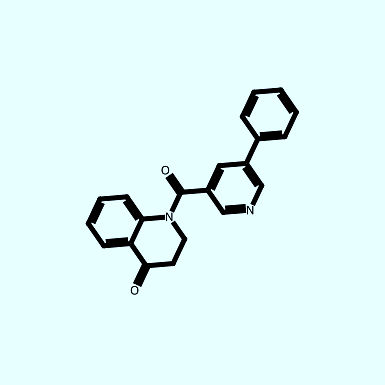 O=C1CCN(C(=O)c2cncc(-c3ccccc3)c2)c2ccccc21